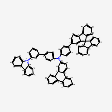 c1cc(-c2ccc(N(c3ccc(-c4ccc5c(c4)C4(c6ccccc6-c6ccccc64)c4ccccc4-5)cc3)c3ccc4c5ccccc5c5ccccc5c4c3)cc2)cc(-n2c3ccccc3c3ccccc32)c1